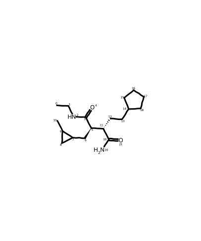 CCNC(=O)[C@H](CC1CC1C)[C@H](CCC1CCCC1)C(N)=O